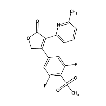 Cc1cccc(C2=C(c3cc(F)c(S(C)(=O)=O)c(F)c3)COC2=O)n1